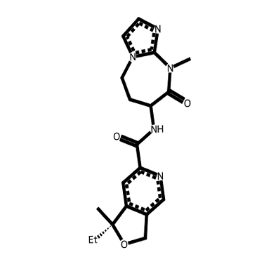 CC[C@@]1(C)OCc2cnc(C(=O)NC3CCn4ccnc4N(C)C3=O)cc21